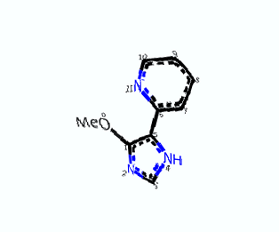 COc1n[c][nH]c1-c1ccccn1